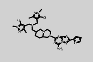 Cc1nn(C)c(Cl)c1CN(Cc1c(C)nn(C)c1Cl)CC1CCC2CN(c3nc(N)n4nc(-c5ccco5)nc4n3)CCN2C1